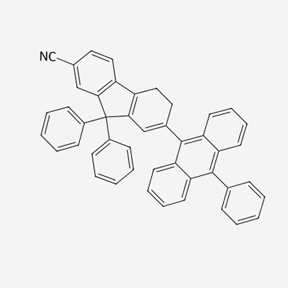 N#Cc1ccc2c(c1)C(c1ccccc1)(c1ccccc1)C1=C2CCC(c2c3ccccc3c(-c3ccccc3)c3ccccc23)=C1